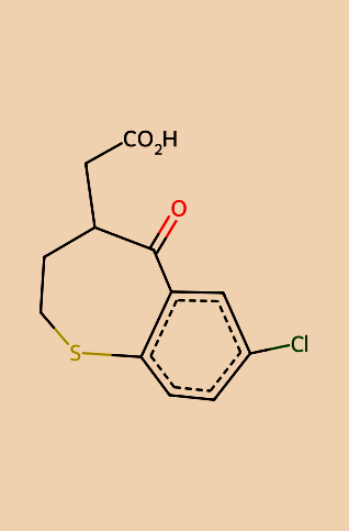 O=C(O)CC1CCSc2ccc(Cl)cc2C1=O